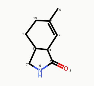 CC1=CC2C(=O)NCC2CC1